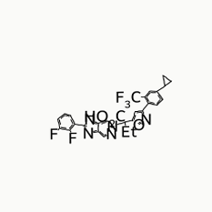 CCC(C(=O)O)(c1cc(-c2ccc(C3CC3)cc2C(F)(F)F)no1)n1cc2nc(-c3cccc(F)c3F)nc-2cn1